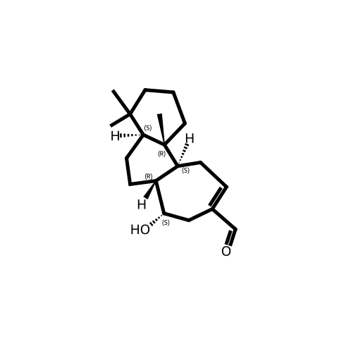 CC1(C)CCC[C@]2(C)[C@H]3CC=C(C=O)C[C@H](O)[C@@H]3CC[C@@H]12